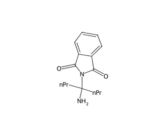 [CH2]CCC(N)(CCC)N1C(=O)c2ccccc2C1=O